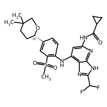 CC1(C)CC[C@@H](c2ccc(Nc3cc(NC(=O)C4CC4)nc4[nH]c(C(F)F)nc34)c(S(C)(=O)=O)c2)OC1